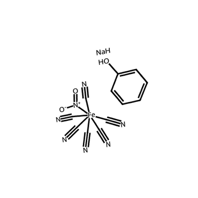 N#[C][Fe]([C]#N)([C]#N)([C]#N)([C]#N)([C]#N)[N+](=O)[O-].Oc1ccccc1.[NaH]